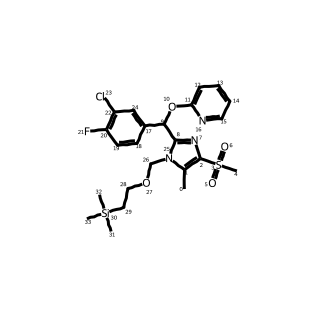 Cc1c(S(C)(=O)=O)nc(C(Oc2ccccn2)c2ccc(F)c(Cl)c2)n1COCC[Si](C)(C)C